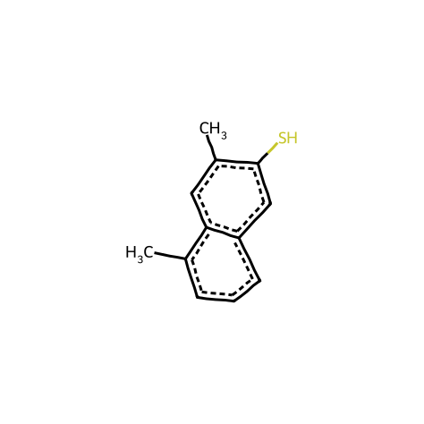 Cc1cc2c(C)cccc2cc1S